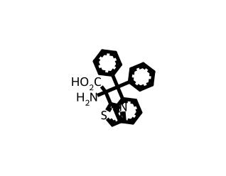 NC(C(=O)O)(c1nccs1)C(c1ccccc1)(c1ccccc1)c1ccccc1